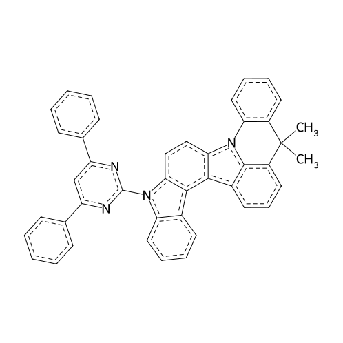 CC1(C)c2ccccc2-n2c3ccc4c(c5ccccc5n4-c4nc(-c5ccccc5)cc(-c5ccccc5)n4)c3c3cccc1c32